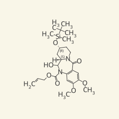 C=CCOC(=O)N1c2cc(OC)c(OC)cc2C(=O)N2CC[C@@H](O[Si](C)(C)C(C)(C)C)C[C@H]2C1O